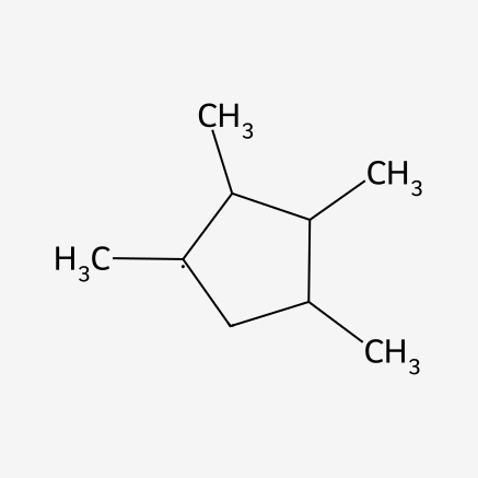 C[C]1CC(C)C(C)C1C